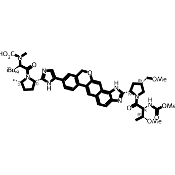 CC[C@H](C)C(C(=O)N1[C@@H](C)CC[C@H]1c1ncc(-c2ccc3c(c2)COc2cc4c(ccc5nc([C@@H]6C[C@H](COC)CN6C(=O)[C@H](NC(=O)OC)[C@@H](C)OC)[nH]c54)cc2-3)[nH]1)N(C)C(=O)O